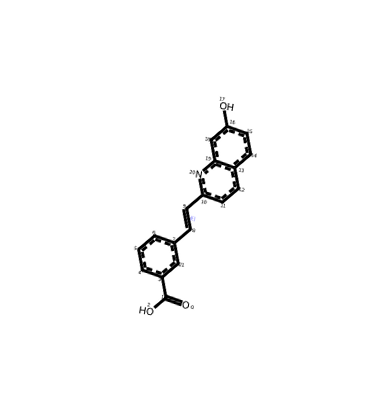 O=C(O)c1cccc(/C=C/c2ccc3ccc(O)cc3n2)c1